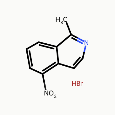 Br.Cc1nccc2c([N+](=O)[O-])cccc12